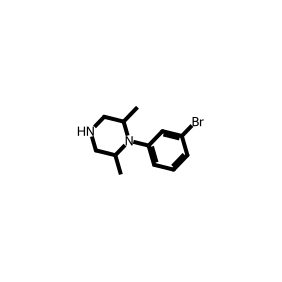 CC1CNCC(C)N1c1cccc(Br)c1